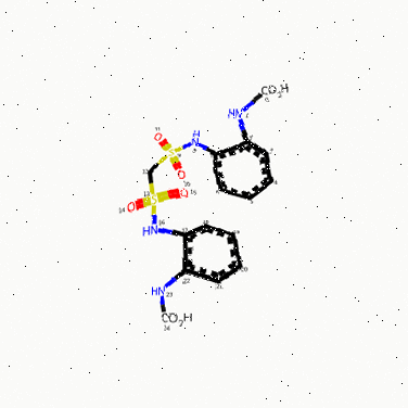 O=C(O)Nc1ccccc1NS(=O)(=O)CS(=O)(=O)Nc1ccccc1NC(=O)O